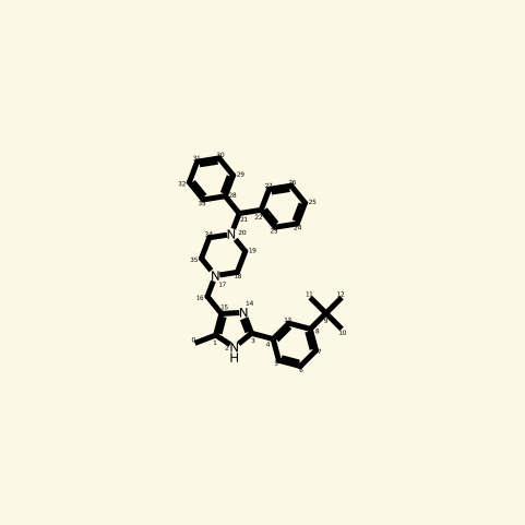 Cc1[nH]c(-c2cccc(C(C)(C)C)c2)nc1CN1CCN(C(c2ccccc2)c2ccccc2)CC1